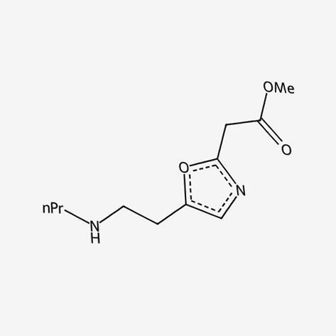 CCCNCCc1cnc(CC(=O)OC)o1